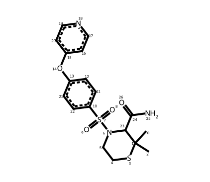 CC1(C)SCCN(S(=O)(=O)c2ccc(Oc3ccncc3)cc2)C1C(N)=O